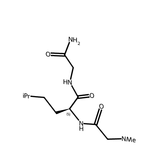 CNCC(=O)N[C@@H](CCC(C)C)C(=O)NCC(N)=O